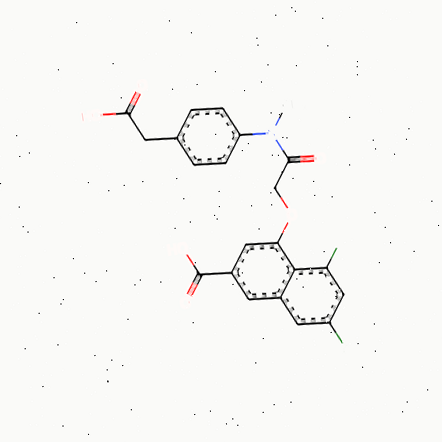 CN(C(=O)COc1cc(C(=O)O)cc2cc(Cl)cc(Cl)c12)c1ccc(CC(=O)O)cc1